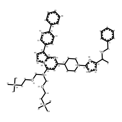 CC(OCc1ccccc1)c1nnc(N2CCC(c3cc(N(COCC[Si](C)(C)C)COCC[Si](C)(C)C)n4ncc(-c5ccc(-c6ccccc6)nc5)c4n3)CC2)o1